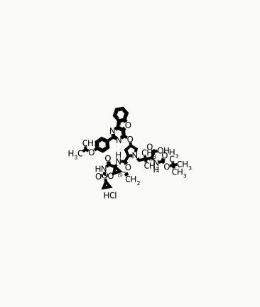 C=C[C@@H]1CC1(NC(=O)C1CC(Oc2nc(-c3ccc(OC(C)C)cc3)nc3c2oc2ccccc23)CN1CC(C)(C)[C@H](NC(=O)OC(C)(C)C)C(=O)O)C(=O)NS(=O)(=O)C1CC1.Cl